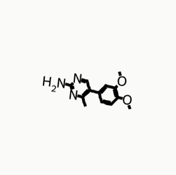 COc1ccc(-c2cnc(N)nc2C)cc1OC